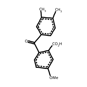 COc1ccc(C(=O)c2ccc(C)c(C)c2)c(C(=O)O)c1